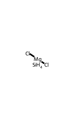 [Cl][Mg][Cl].[SiH4]